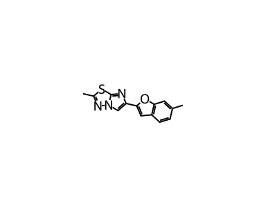 Cc1ccc2cc(-c3cn4nc(C)sc4n3)oc2c1